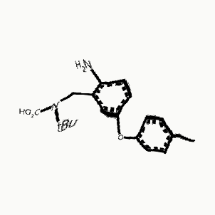 Cc1ccc(Oc2ccc(N)c(CN(C(=O)O)C(C)(C)C)c2)cc1